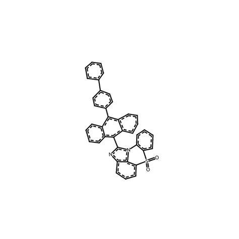 O=S1(=O)c2ccccc2-n2c(-c3c4ccccc4c(-c4ccc(-c5ccccc5)cc4)c4ccccc34)nc3cccc1c32